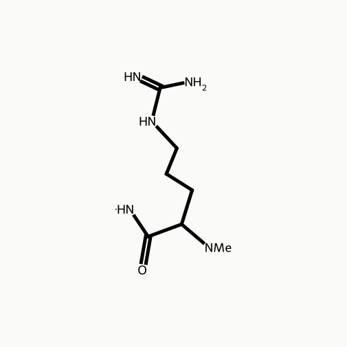 CNC(CCCNC(=N)N)C([NH])=O